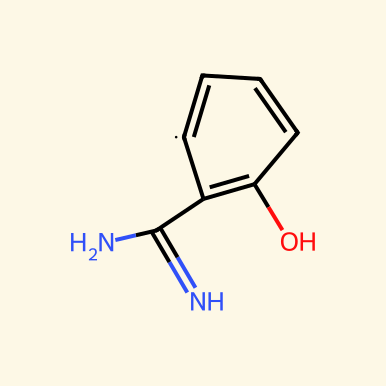 N=C(N)c1[c]cccc1O